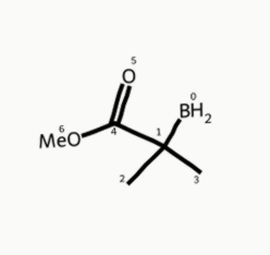 BC(C)(C)C(=O)OC